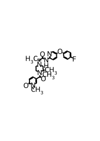 C[C@H](C(=O)Nc1ccc(Oc2ccc(F)cc2)cn1)N1CCN(C(=O)c2ccc(=O)n(C)c2)C(C)(C)C1